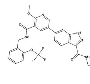 CCCNC(=O)c1n[nH]c2cc(-c3cnc(OC)c(C(=O)NCc4ccccc4OC(F)(F)F)c3)ccc12